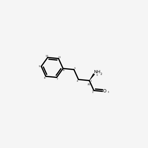 N[C@@H]([C]=O)CCc1ccccc1